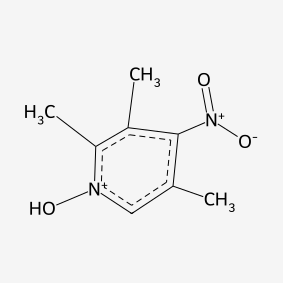 Cc1c[n+](O)c(C)c(C)c1[N+](=O)[O-]